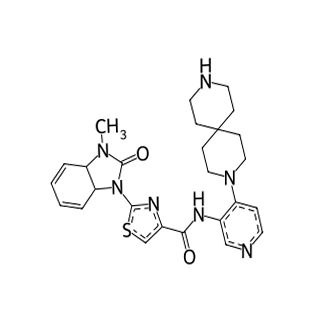 CN1C(=O)N(c2nc(C(=O)Nc3cnccc3N3CCC4(CCNCC4)CC3)cs2)C2C=CC=CC21